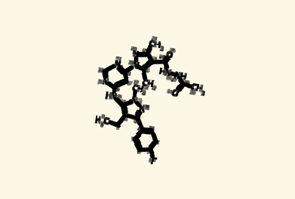 CCc1c(-c2ccc(F)cc2)nn(C)c1Nc1cc(-n2nc(C)c(C(=O)NNC(C)=O)c2C)ncn1